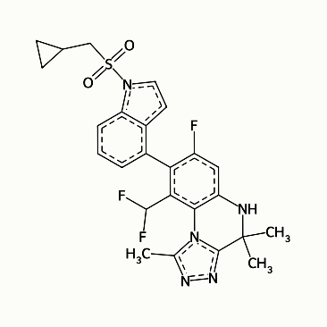 Cc1nnc2n1-c1c(cc(F)c(-c3cccc4c3ccn4S(=O)(=O)CC3CC3)c1C(F)F)NC2(C)C